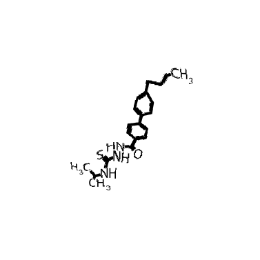 CCCCc1ccc(-c2ccc(C(=O)NNC(=S)NC(C)C)cc2)cc1